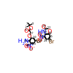 CC(C)(C)OC(=O)COc1cc(Br)cc([N+](=O)[O-])c1N.O=C1COc2cc(Br)cc([N+](=O)[O-])c2N1